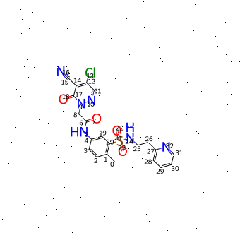 Cc1ccc(NC(=O)Cn2ncc(Cl)c(C#N)c2=O)cc1S(=O)(=O)NCCc1ccccn1